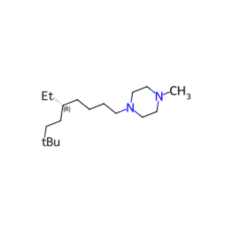 CC[C@H](CCCCN1CCN(C)CC1)CCC(C)(C)C